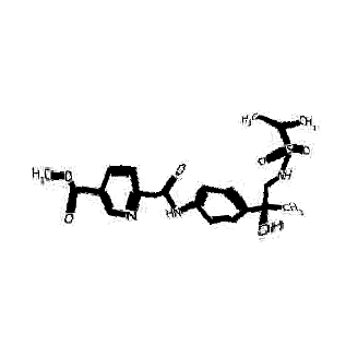 COC(=O)c1ccc(C(=O)Nc2ccc(C(C)(O)CNS(=O)(=O)C(C)C)cc2)nc1